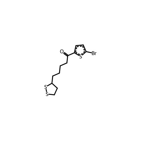 O=C(CCCCC1CCSS1)c1ccc(Br)s1